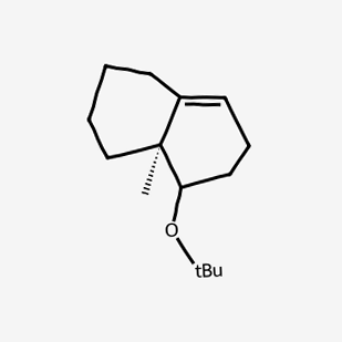 CC(C)(C)OC1CCC=C2CCCC[C@@]21C